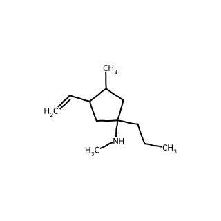 C=CC1CC(CCC)(NC)CC1C